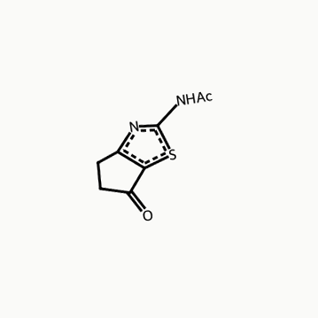 CC(=O)Nc1nc2c(s1)C(=O)CC2